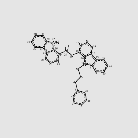 c1ccc(CCCn2c3ccccc3c3ccnc(CNc4nccc5c4[nH]c4ccccc45)c32)cc1